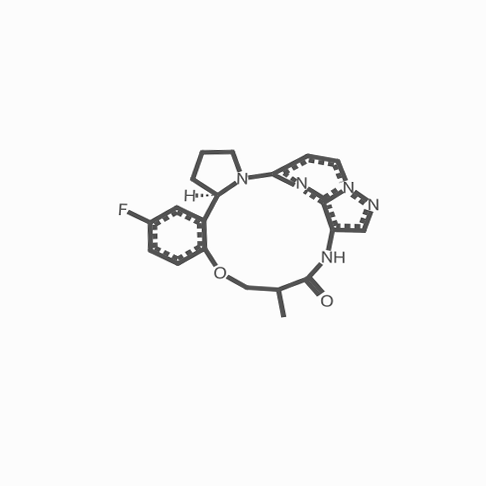 CC1COc2ccc(F)cc2[C@H]2CCCN2c2ccn3ncc(c3n2)NC1=O